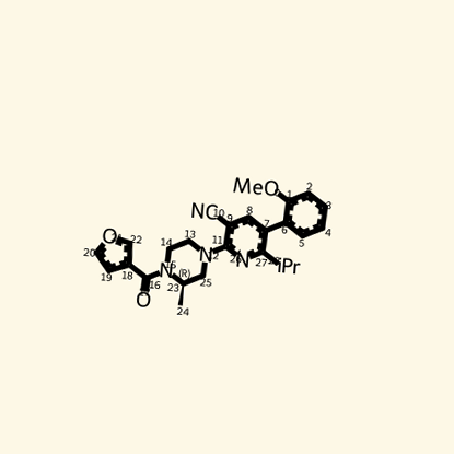 COc1ccccc1-c1cc(C#N)c(N2CCN(C(=O)c3ccoc3)[C@H](C)C2)nc1C(C)C